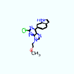 COCCn1cnc2c(-c3ccc4cc[nH]c4c3)nc(Cl)nc21